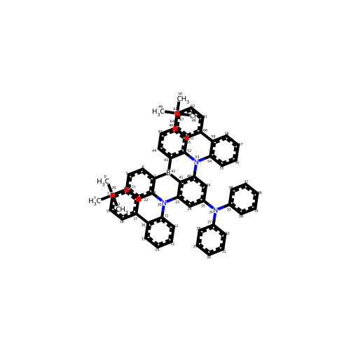 C[Si](C)(C)c1ccc2c(c1)N(c1ccccc1-c1ccccc1)c1cc(N(c3ccccc3)c3ccccc3)cc3c1B2c1ccc([Si](C)(C)C)cc1N3c1ccccc1-c1ccccc1